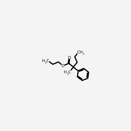 CCCOC(=O)C(C)(CCC)c1ccccc1